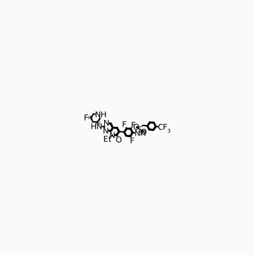 CCn1c(=O)c(-c2cc(F)c(NS(=O)(=O)Cc3ccc(C(F)(F)F)cc3)c(F)c2F)cc2cnc(N[C@@H]3CNC[C@@H](F)C3)nc21